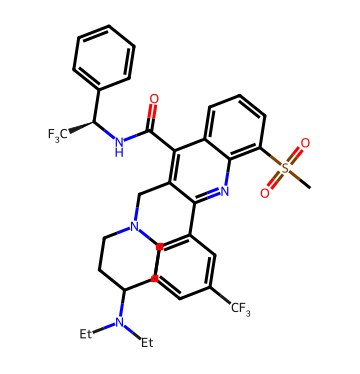 CCN(CC)C1CCN(Cc2c(-c3cccc(C(F)(F)F)c3)nc3c(S(C)(=O)=O)cccc3c2C(=O)N[C@H](c2ccccc2)C(F)(F)F)CC1